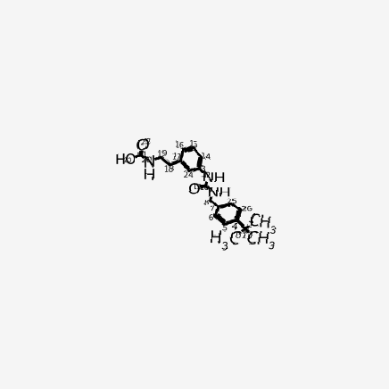 CC(C)(C)c1ccc(CNC(=O)Nc2cccc(CCNC(=O)O)c2)cc1